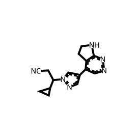 N#CCC(C1CC1)n1cc(-c2cnnc3c2CCN3)cn1